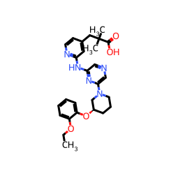 CCOc1ccccc1O[C@@H]1CCCN(c2cncc(Nc3cc(CC(C)(C)C(=O)O)ccn3)n2)C1